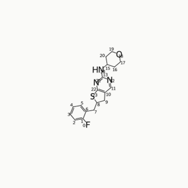 Fc1ccccc1CC1Cc2cnc(NC3CCOCC3)nc2S1